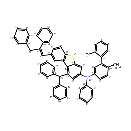 Cc1ccccc1-c1cc(N(c2ccccc2)c2cc(C(c3ccccc3)c3ccccc3)c3c(c2)sc2ccc(/C=C(/Cc4ccccc4)c4ccccc4)cc23)ccc1C